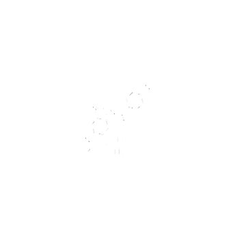 CC1(C)OC(=O)Nc2cc([N+](=O)[O-])c(NC(=O)c3cc(Cl)c(N)c(Cl)c3)cc21